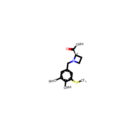 COC(=O)[C@H]1CCN1Cc1cc(OC)c(OC)c(SC(F)(F)F)c1